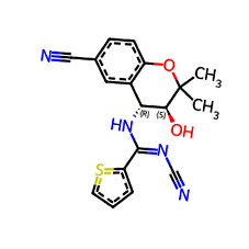 CC1(C)Oc2ccc(C#N)cc2[C@@H](NC(=NC#N)c2cccs2)[C@@H]1O